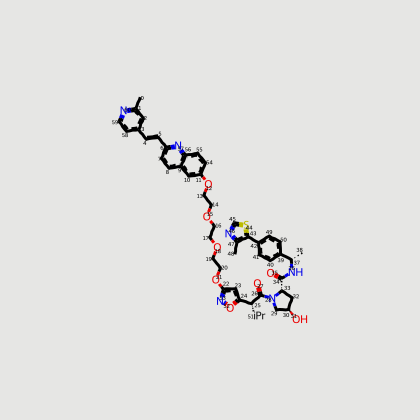 Cc1cc(/C=C/c2ccc3cc(OCCOCCOCCOc4cc([C@H](C(=O)N5C[C@H](O)C[C@H]5C(=O)N[C@@H](C)c5ccc(-c6scnc6C)cc5)C(C)C)on4)ccc3n2)ccn1